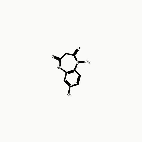 CN1C(=O)CC(=O)Nc2cc(C#N)ccc21